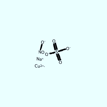 O=N[O-].O=S(=O)([O-])[O-].[Cu+2].[Na+]